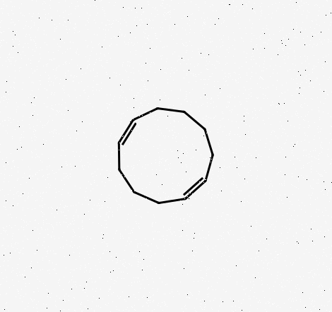 [C]1=C\CCCC/C=C\CCC/1